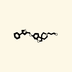 O=CCCN1CCC2(CC1)COc1cc(OCc3cc(-c4ccccc4)cs3)ccc12